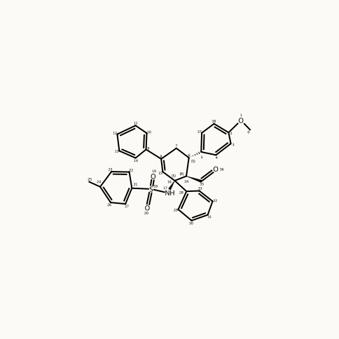 COc1ccc([C@H]2CC(c3ccccc3)=C[C@@](NS(=O)(=O)c3ccc(C)cc3)(c3ccccc3)[C@@H]2C=O)cc1